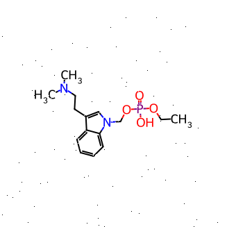 CCOP(=O)(O)OCn1cc(CCN(C)C)c2ccccc21